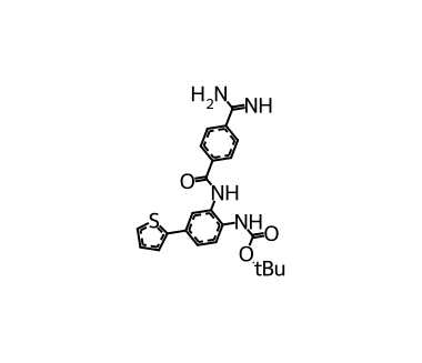 CC(C)(C)OC(=O)Nc1ccc(-c2cccs2)cc1NC(=O)c1ccc(C(=N)N)cc1